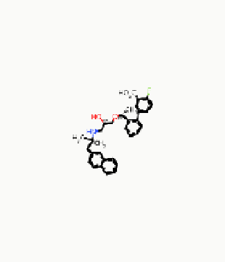 C[C@@H](OC[C@H](O)CNC(C)(C)Cc1ccc2ccccc2c1)c1ccccc1-c1ccc(F)c(C(=O)O)c1